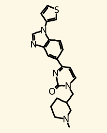 CN1CCCC(Cn2ccc(-c3ccc4c(c3)ncn4-c3ccsc3)nc2=O)C1